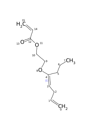 C=CC/C=C(\CCC)OCCOC(=O)C=C